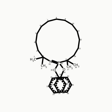 CC1(C)CCCCCCCCCCCCC(C)(C)P(Oc2ccccc2)(Oc2ccccc2)=N1